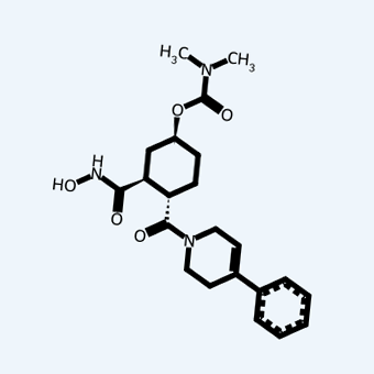 CN(C)C(=O)O[C@H]1CC[C@H](C(=O)N2CC=C(c3ccccc3)CC2)[C@@H](C(=O)NO)C1